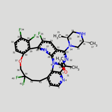 CC(C)c1nccc2c1-n1c(=O)nc(N3C[C@@H](C)NC[C@@H]3C)c3cc(F)c(nc31)-c1c(ccc(F)c1F)OCC(F)(F)CC2